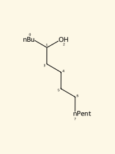 [CH2]CCCC(O)CCCCCCCCC